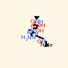 CNC(=O)N(CC#Cc1nc(N)c2ncn([C@@H]3O[C@H](C(=O)NC4CC4)C(O)C3O)c2n1)CC1CC1